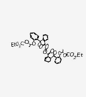 CCOC(=O)OC(C)Oc1ccccc1C(=O)c1ccccc1C(=O)OOC(=O)c1ccccc1C(=O)c1ccccc1OC(C)OC(=O)OCC